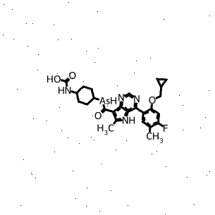 Cc1cc(-c2ncnc3c(C(=O)[AsH]C4CCC(NC(=O)O)CC4)c(C)[nH]c23)c(OCC2CC2)cc1F